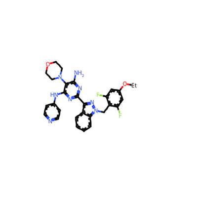 CCOc1cc(F)c(Cn2nc(-c3nc(N)c(N4CCOCC4)c(Nc4ccncc4)n3)c3ccccc32)c(F)c1